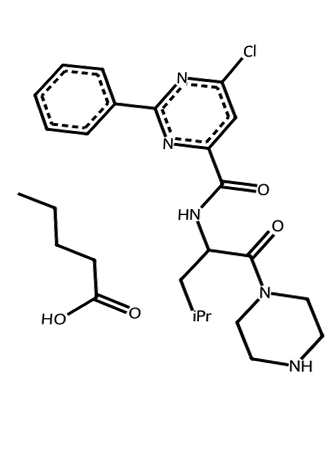 CC(C)CC(NC(=O)c1cc(Cl)nc(-c2ccccc2)n1)C(=O)N1CCNCC1.CCCCC(=O)O